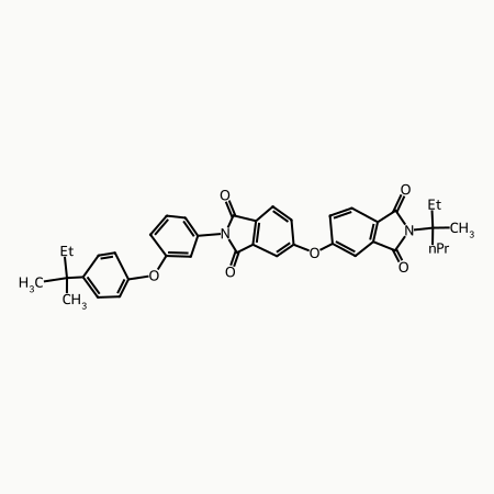 CCCC(C)(CC)N1C(=O)c2ccc(Oc3ccc4c(c3)C(=O)N(c3cccc(Oc5ccc(C(C)(C)CC)cc5)c3)C4=O)cc2C1=O